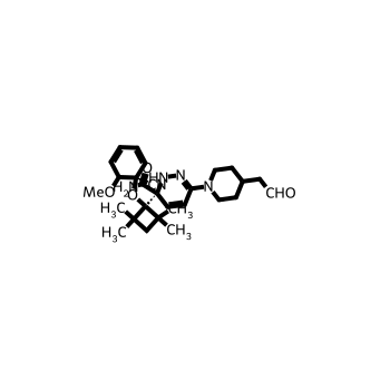 COC1C=CC=C[C@]1(C#N)OC1([C@@]2(C(N)=O)C=CC(N3CCC(CC=O)CC3)=NN2)C(C)(C)CC1(C)C